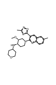 CO[C@H]1CN(c2nc3ccc(C)cc3cc2-c2nc(C)no2)CC[C@H]1NC1CCOCC1